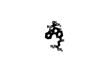 CN(C)CCNC1=CC[C@H]2C[C@@H](C(C)(C)O)c3nc4ccccc4n3C2=N1